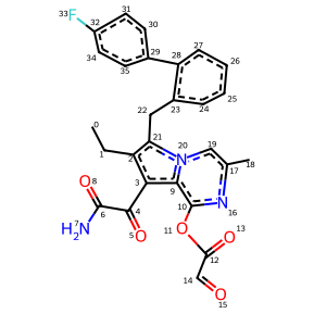 CCc1c(C(=O)C(N)=O)c2c(OC(=O)C=O)nc(C)cn2c1Cc1ccccc1-c1ccc(F)cc1